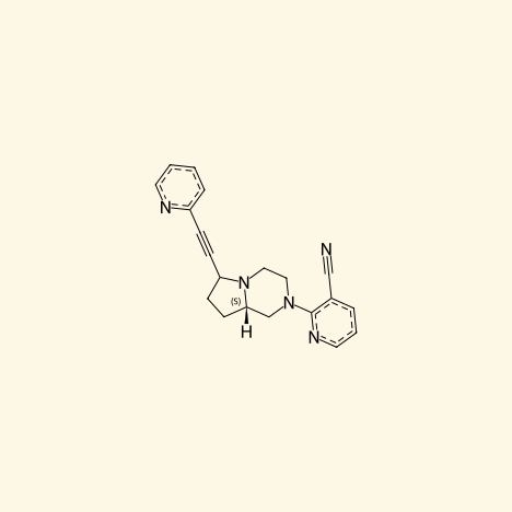 N#Cc1cccnc1N1CCN2C(C#Cc3ccccn3)CC[C@H]2C1